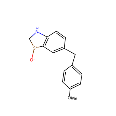 COc1ccc(Cc2ccc3c(c2)[S+]([O-])CN3)cc1